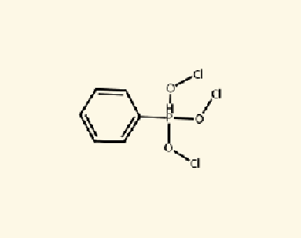 ClO[PH](OCl)(OCl)c1ccccc1